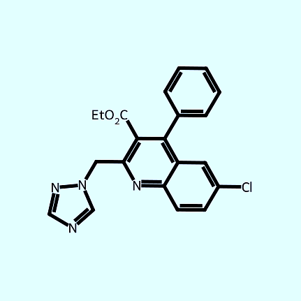 CCOC(=O)c1c(Cn2cncn2)nc2ccc(Cl)cc2c1-c1ccccc1